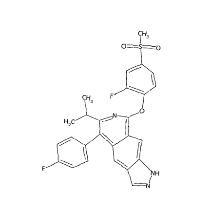 CC(C)c1nc(Oc2ccc(S(C)(=O)=O)cc2F)c2cc3[nH]ncc3cc2c1-c1ccc(F)cc1